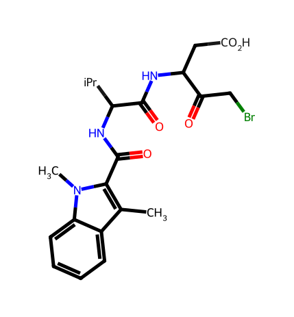 Cc1c(C(=O)NC(C(=O)NC(CC(=O)O)C(=O)CBr)C(C)C)n(C)c2ccccc12